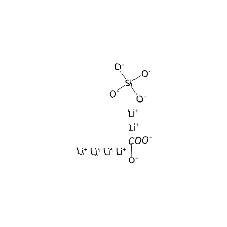 O=C([O-])[O-].[Li+].[Li+].[Li+].[Li+].[Li+].[Li+].[O-][Si]([O-])([O-])[O-]